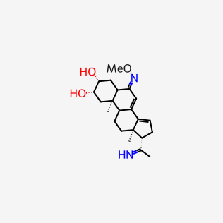 CO/N=C1/C=C2C3=CC[C@H](C(C)=N)[C@@]3(C)CCC2[C@@]2(C)C[C@H](O)[C@H](O)CC12